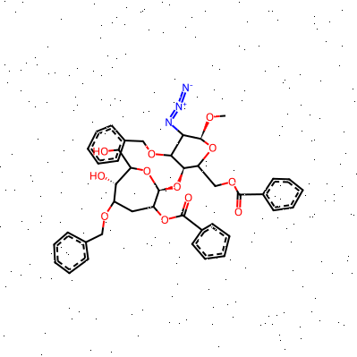 CO[C@H]1OC(COC(=O)c2ccccc2)[C@@H](O[C@@H]2OC(CO)[C@@H](O)C(OCc3ccccc3)CC2OC(=O)c2ccccc2)C(OCc2ccccc2)C1N=[N+]=[N-]